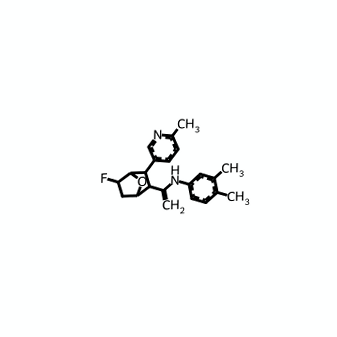 C=C(Nc1ccc(C)c(C)c1)C1C2CC(F)C(O2)C1c1ccc(C)nc1